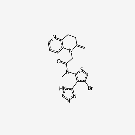 C=C1CCc2ncccc2N1CC(=O)N(C)c1scc(Br)c1-c1nnc[nH]1